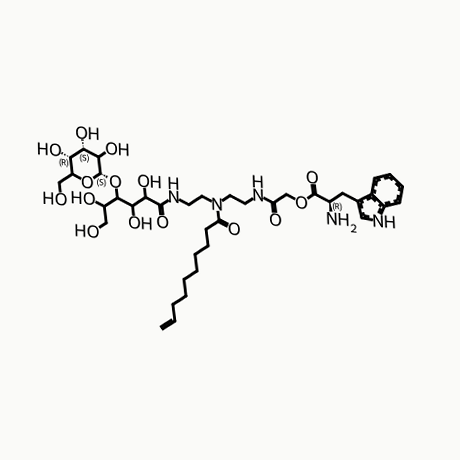 C=CCCCCCCCC(=O)N(CCNC(=O)COC(=O)[C@H](N)Cc1c[nH]c2ccccc12)CCNC(=O)C(O)C(O)C(O[C@@H]1OC(CO)[C@H](O)[C@H](O)C1O)C(O)CO